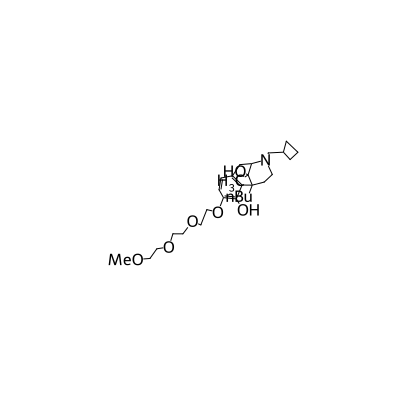 CCCCC12CCN(CC3CCC3)C(Cc3ccc(OCCOCCOCCOC)c(O)c31)C2(C)O